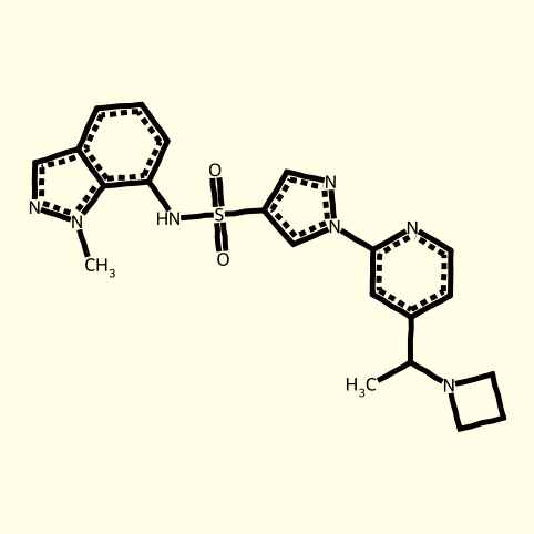 CC(c1ccnc(-n2cc(S(=O)(=O)Nc3cccc4cnn(C)c34)cn2)c1)N1CCC1